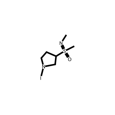 CN=S(C)(=O)C1CCN(I)C1